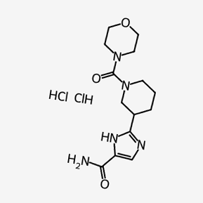 Cl.Cl.NC(=O)c1cnc(C2CCCN(C(=O)N3CCOCC3)C2)[nH]1